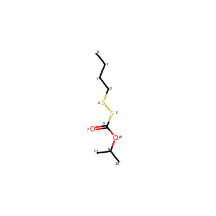 CCCCSSC(=O)OC(C)C